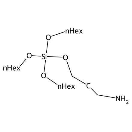 CCCCCCO[Si](OCCCN)(OCCCCCC)OCCCCCC